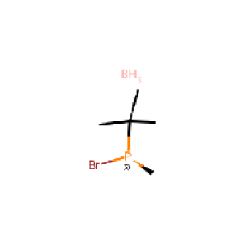 B.C[P@@](Br)C(C)(C)C